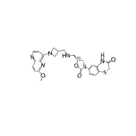 COc1ccc2nccc(N3CC(CNC[C@H]4CN(c5ccc6c(c5)NC(=O)CS6)C(=O)O4)C3)c2n1